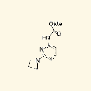 COC(=O)Nc1cccc(N2CCC2)n1